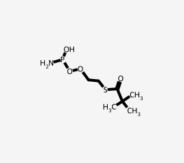 CC(C)(C)C(=O)SCCOOP(N)O